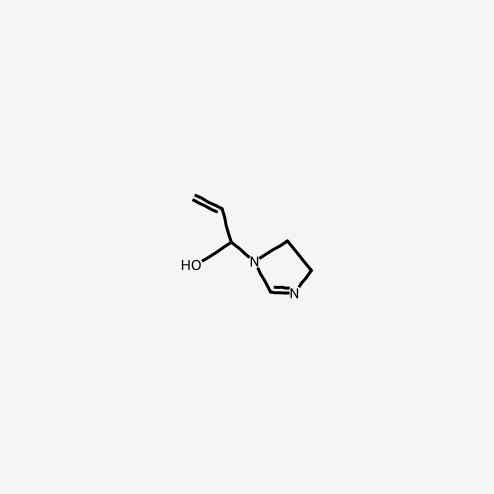 C=CC(O)N1C=NCC1